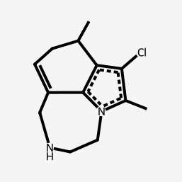 Cc1c(Cl)c2c3n1CCNCC3=CCC2C